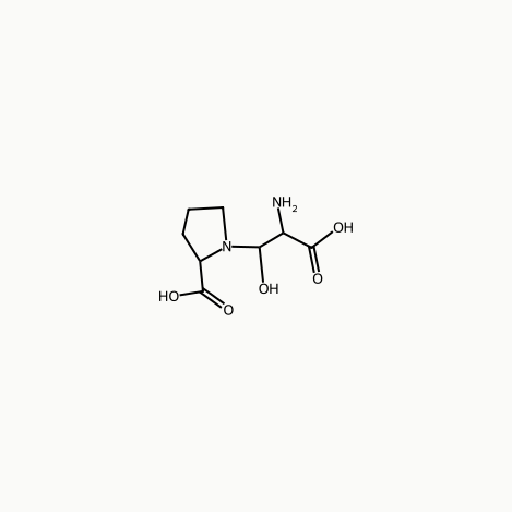 NC(C(=O)O)C(O)N1CCCC1C(=O)O